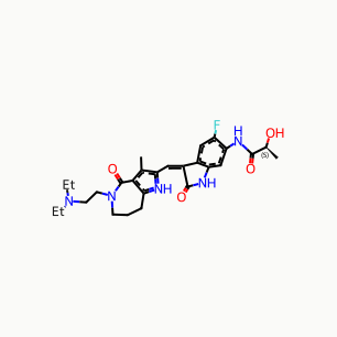 CCN(CC)CCN1CCCc2[nH]c(C=C3C(=O)Nc4cc(NC(=O)[C@H](C)O)c(F)cc43)c(C)c2C1=O